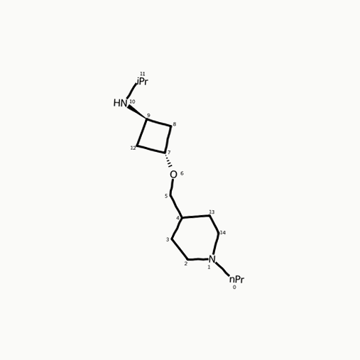 CCCN1CCC(CO[C@H]2C[C@H](NC(C)C)C2)CC1